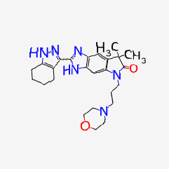 CC1(C)C(=O)N(CCCN2CCOCC2)c2cc3[nH]c(-c4n[nH]c5c4CCCC5)nc3cc21